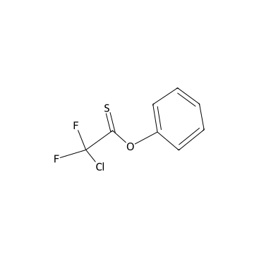 FC(F)(Cl)C(=S)Oc1ccccc1